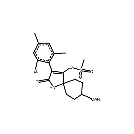 CCc1cc(C)cc(C)c1C1=C(OS(C)(=O)=O)C2(CCC(OC)CC2)NC1=O